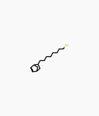 SCCCCCCCCC1CC2C=CC1C2